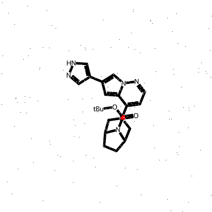 CC(C)(C)OC(=O)N1C2CCC1CN(c1ccnn3cc(-c4cn[nH]c4)cc13)C2